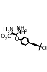 CC(C)(O)C#Cc1ccc(O/C(NN)=C(/N)C(=O)O)cc1